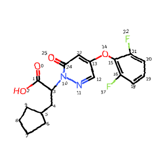 O=C(O)C(CC1CCCC1)n1ncc(Oc2c(F)cccc2F)cc1=O